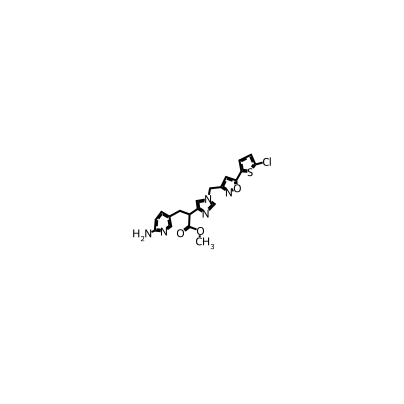 COC(=O)C(Cc1ccc(N)nc1)c1cn(Cc2cc(-c3ccc(Cl)s3)on2)cn1